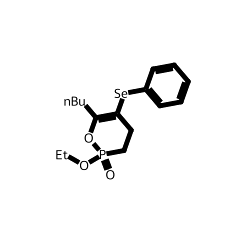 CCCCC1=C([Se]c2ccccc2)CCP(=O)(OCC)O1